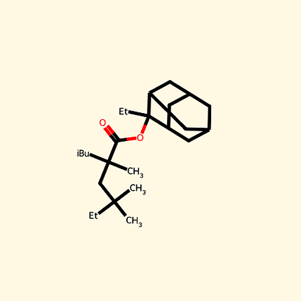 CCC(C)C(C)(CC(C)(C)CC)C(=O)OC1(CC)C2CC3CC(C2)CC1C3